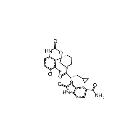 NC(=O)c1ccc2[nH]c(=O)n([C@@H](CC3CC3)C(=O)N3CCC[C@@]4(C3)OC(=O)Nc3ccc(Cl)c(F)c34)c2c1